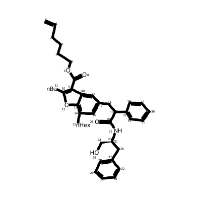 C=CCCCCOC(=O)c1c(CCCC)oc2c(CCCCCC)cc(CC(C(=O)N[C@H](CO)Cc3ccccc3)c3ccccc3)cc12